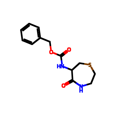 O=C(NC1CSCCNC1=O)OCc1ccccc1